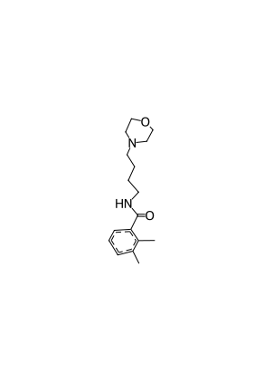 Cc1cccc(C(=O)NCCCCN2CCOCC2)c1C